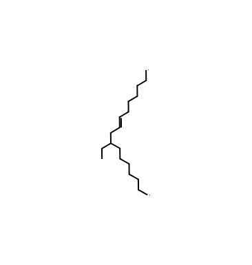 [CH2]CCCCCC=CCC(CC)CCCCCC[CH2]